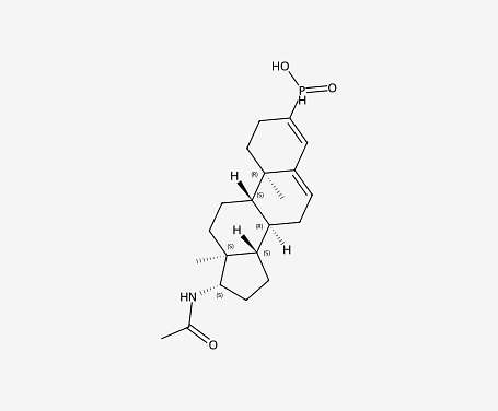 CC(=O)N[C@H]1CC[C@H]2[C@@H]3CC=C4C=C([PH](=O)O)CC[C@]4(C)[C@H]3CC[C@]12C